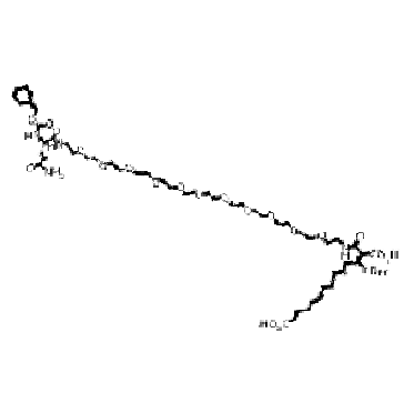 CCCCCCCCCCC(CCCCCCCCCCC(=O)O)C(C(=O)O)C(=O)NCCOCCOCCOCCOCCOCCOCCOCCOCCOCCOCCOCCNC(=O)[C@H](CCC(N)=O)NC(=O)OCc1ccccc1